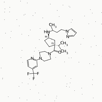 CC(CCn1cccn1)N[C@@H]1CC[C@@](C(=O)N2CCN(c3cc(C(F)(F)F)ccn3)CC2)(C(C)C)C1